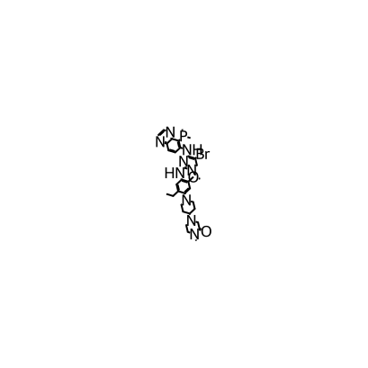 CCc1cc(Nc2ncc(Br)c(Nc3ccc4nccnc4c3P(C)C)n2)c(OC)cc1N1CCC(N2CCN(C)C(=O)C2)CC1